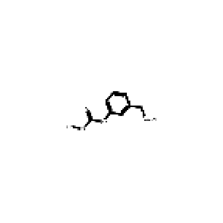 CC(C)OC(=S)Nc1cccc(CC(=O)O)c1